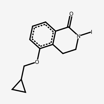 O=C1c2cccc(OCC3CC3)c2CCN1I